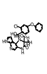 [2H]C([2H])([2H])C1(COC)C(=O)Nc2cnc3[nH]ccc3c2N1C(O)c1ccc(Oc2ccccc2)cc1Cl